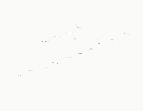 CCCCCCCCCCCCC/C=C/C(=O)OCC(O)CO.NCCCCC(N)C(=O)O